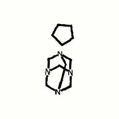 C1CCCC1.C1N2CN3CN1CN(C2)C3